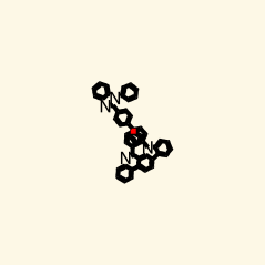 c1ccc(-c2nc3ccccc3c3ccc4c5ccccc5n(-c5ccc(-c6ccc(-c7nc8ccccc8n7-c7ccccc7)cc6)cc5)c4c23)cc1